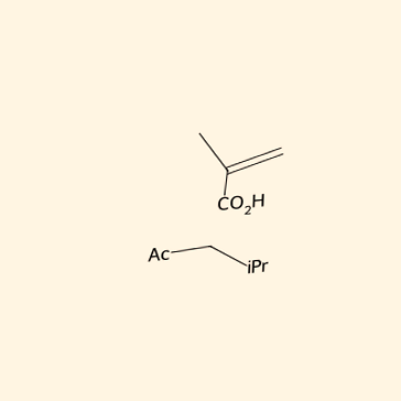 C=C(C)C(=O)O.CC(=O)CC(C)C